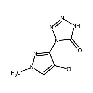 Cn1cc(Cl)c(-n2nn[nH]c2=O)n1